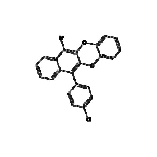 Clc1ccc(-c2c3c(c(Br)c4ccccc24)Oc2ccccc2O3)cc1